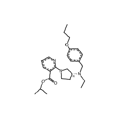 CCCOc1ccc(CN(CC)[C@@H]2CCN(c3ncccc3C(=O)OC(C)C)C2)cc1